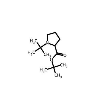 CC(C)(C)OC(=O)C1CCCN1C(C)(C)C